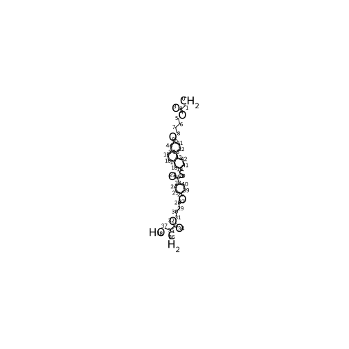 C=CC(=O)OCCCCOc1ccc2c(ccc3cc(SC(=O)c4ccc(OCCCCOC(=O)C(=C)CO)cc4)ccc32)c1